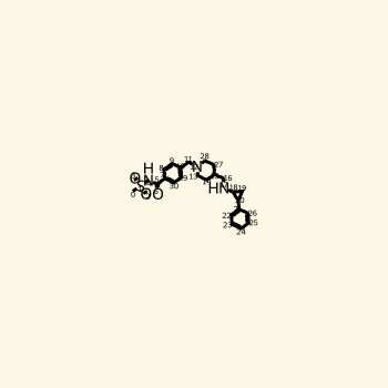 CS(=O)(=O)NC(=O)c1ccc(CN2CCC(CNC3CC3c3ccccc3)CC2)cc1